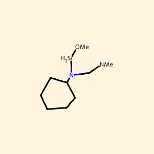 CNCN([SiH2]OC)C1CCCCC1